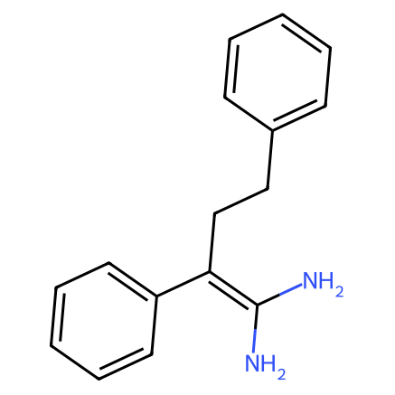 NC(N)=C(CCc1ccccc1)c1ccccc1